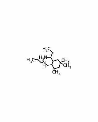 C[CH]C(N)C1CC(C)(C)CC(C)C1CNCCC